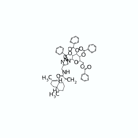 C=C(C(=O)NCc1cn(C2OC(COC(=O)c3ccccc3)C(OC(=O)c3ccccc3)C(OC(=O)c3ccccc3)C2OC(=O)c2ccccc2)nn1)[C@@H]1CC[C@@H](C)[C@@H]2CCC(C)=C[C@@H]21